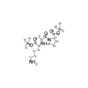 CC(NC(CCCCN)C(=O)OC(C)(C)C)C(=O)N1CCC[C@H]1C(=O)OC(C)(C)C